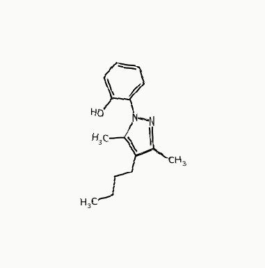 CCCCc1c(C)nn(-c2ccccc2O)c1C